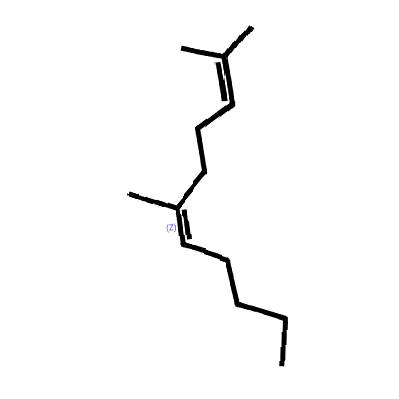 CCCC/C=C(/C)CCC=C(C)C